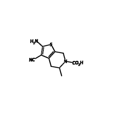 CC1Cc2c(sc(N)c2C#N)CN1C(=O)O